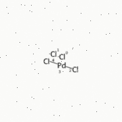 [Cl].[Cl].[Cl][Pd][Cl]